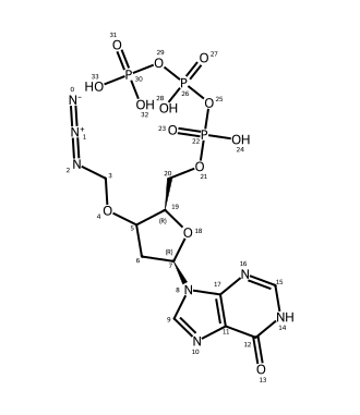 [N-]=[N+]=NCOC1C[C@H](n2cnc3c(=O)[nH]cnc32)O[C@@H]1COP(=O)(O)OP(=O)(O)OP(=O)(O)O